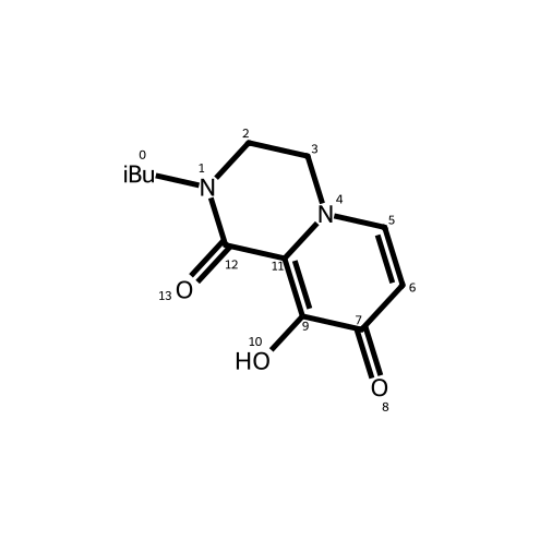 CCC(C)N1CCn2ccc(=O)c(O)c2C1=O